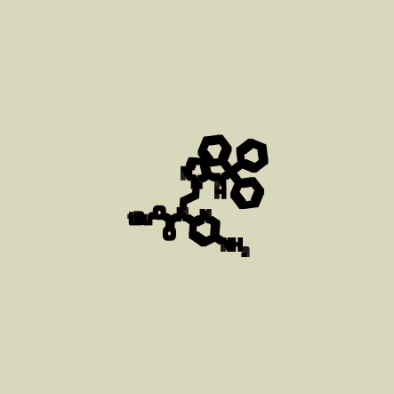 CC(C)(C)OC(=O)N(CCn1nccc1NC(c1ccccc1)(c1ccccc1)c1ccccc1)c1ccc(N)cn1